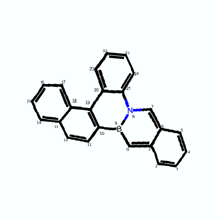 C1=c2ccccc2=CN2B1c1ccc3ccccc3c1-c1ccccc12